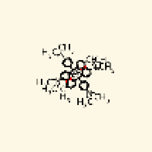 CCN(CC)c1ccc(C(c2ccc(C)cc2)(c2ccc(N(CC)CC)cc2)S(=O)(=O)C(c2ccc(C)cc2)(c2ccc(N(CC)CC)cc2)c2ccc(N(CC)CC)cc2)cc1